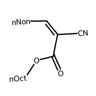 CCCCCCCCCC=C(C#N)C(=O)OCCCCCCCC